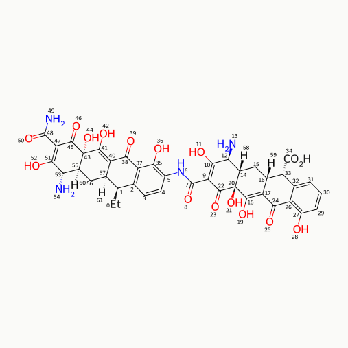 CC[C@@H]1c2ccc(NC(=O)C3=C(O)[C@@H](N)[C@@H]4C[C@H]5C(=C(O)[C@]4(O)C3=O)C(=O)c3c(O)cccc3[C@H]5C(=O)O)c(O)c2C(=O)C2=C(O)[C@]3(O)C(=O)C(C(N)=O)=C(O)[C@@H](N)[C@@H]3C[C@@H]21